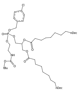 CCCCCCCCCCCCCCCCCC(=O)OCC(COP(=O)(OCCNC(=O)OC(C)(C)C)OCc1ccc(Cl)cc1)OC(=O)CCCCCCCCCCCCCCCCC